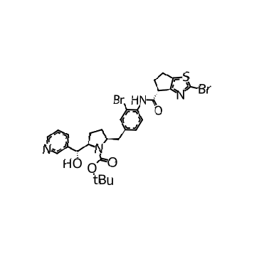 CC(C)(C)OC(=O)N1[C@H](Cc2ccc(NC(=O)[C@@H]3CCc4sc(Br)nc43)c(Br)c2)CC[C@@H]1[C@H](O)c1cccnc1